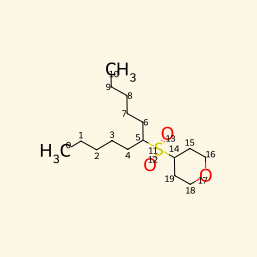 CCCCCC(CCCCC)S(=O)(=O)C1CCOCC1